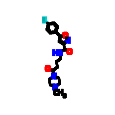 CN1CCN(C(=O)CCCNC(=O)c2cc(-c3ccc(F)cc3)on2)CC1